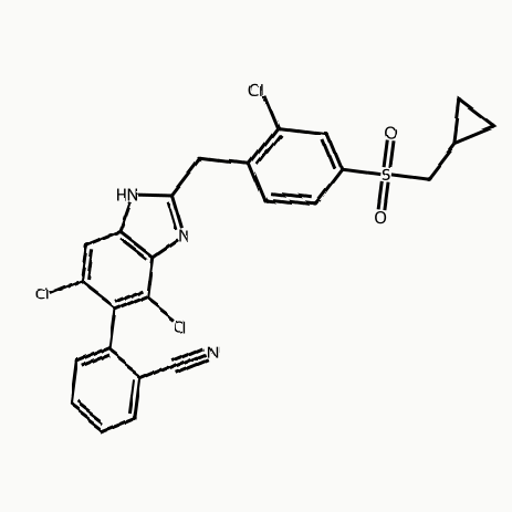 N#Cc1ccccc1-c1c(Cl)cc2[nH]c(Cc3ccc(S(=O)(=O)CC4CC4)cc3Cl)nc2c1Cl